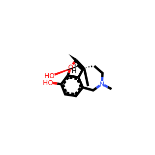 CC1=C[C@H](O)C[C@@H]2Oc3c(O)ccc4c3[C@]12CCN(C)C4